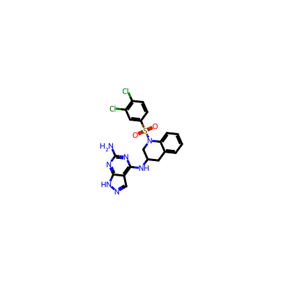 Nc1nc(NC2Cc3ccccc3N(S(=O)(=O)c3ccc(Cl)c(Cl)c3)C2)c2cn[nH]c2n1